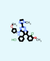 COc1cccc(-c2cn3nc(-c4nccn4C)nc(N[C@@H]4CC[C@@H](OC)C4)c3c2-c2ccccc2)c1Cl.Cl